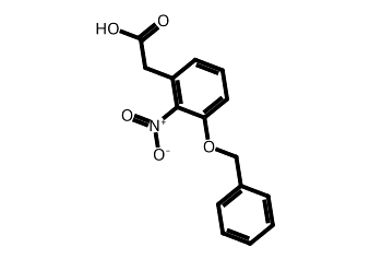 O=C(O)Cc1cccc(OCc2ccccc2)c1[N+](=O)[O-]